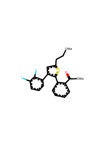 COCCc1cc(-c2cccc(F)c2F)c(-c2ccccc2C(=O)OC)s1